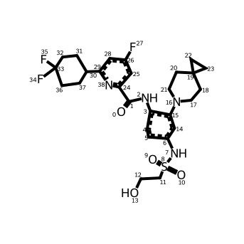 O=C(Nc1ccc(NS(=O)(=O)CCO)cc1N1CCC2(CC1)CC2)c1cc(F)cc(C2CCC(F)(F)CC2)n1